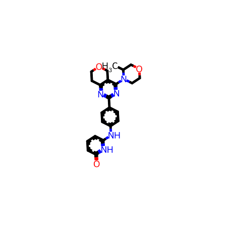 CC1COCCN1c1nc(-c2ccc(Nc3cccc(=O)[nH]3)cc2)nc2c1COCC2